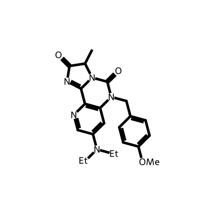 CCN(CC)c1cnc2c(c1)N(Cc1ccc(OC)cc1)C(=O)N1C2=NC(=O)C1C